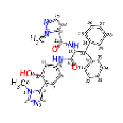 Cn1cncc1-c1ccc(NC(=O)C(NC(=O)c2ccnn2C)C(c2ccccc2)c2ccccc2)cc1O